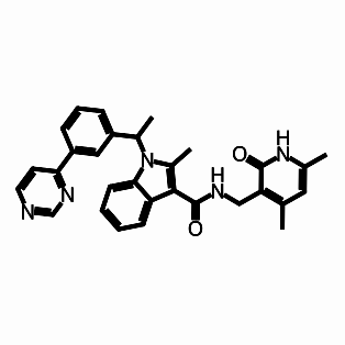 Cc1cc(C)c(CNC(=O)c2c(C)n(C(C)c3cccc(-c4ccncn4)c3)c3ccccc23)c(=O)[nH]1